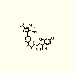 CC(C(=O)N/C(O)=C/C(=N)c1ccc(Cl)cc1Cl)c1ccc(-c2nn(C(C)C)c(N)c2C#N)cc1